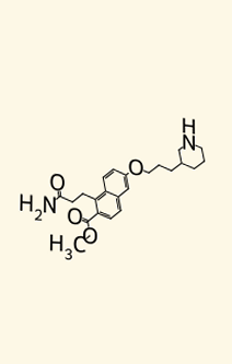 COC(=O)c1ccc2cc(OCCCC3CCCNC3)ccc2c1CCC(N)=O